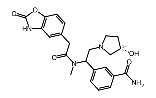 CN(C(=O)Cc1ccc2oc(=O)[nH]c2c1)C(CN1CC[C@H](O)C1)c1cccc(C(N)=O)c1